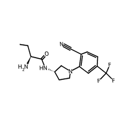 CC[C@H](N)C(=O)N[C@H]1CCN(c2cc(C(F)(F)F)ccc2C#N)C1